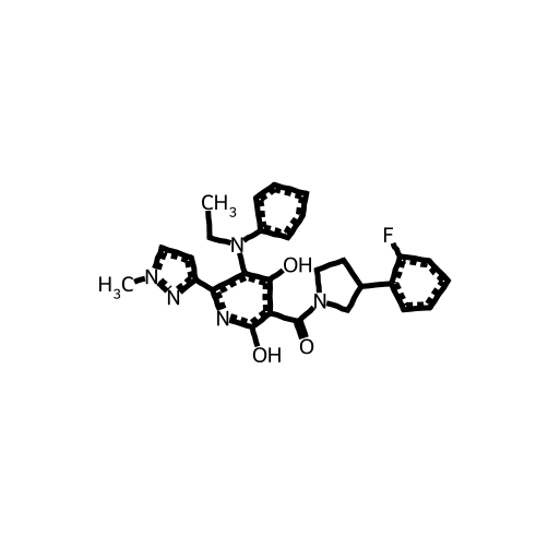 CCN(c1ccccc1)c1c(-c2ccn(C)n2)nc(O)c(C(=O)N2CCC(c3ccccc3F)C2)c1O